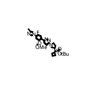 COCOc1cc(-n2cnc(C)c2)c(F)cc1-c1ccc(N2CC[C@H](N(C(=O)OC(C)(C)C)C3CCC3)C2)nn1